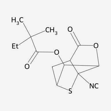 [C-]#[N+]C12SC3CC1C(=O)OC2C3OC(=O)C(C)(C)CC